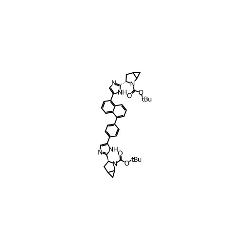 CC(C)(C)OC(=O)N1C2CC2C[C@H]1c1ncc(-c2ccc(-c3cccc4c(-c5cnc([C@@H]6CC7CC7N6C(=O)OC(C)(C)C)[nH]5)cccc34)cc2)[nH]1